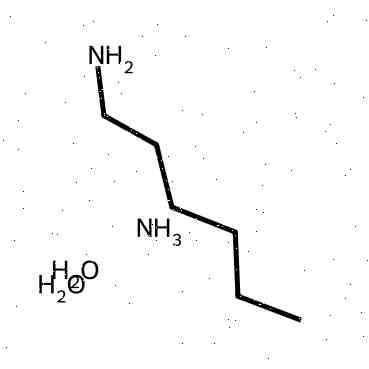 CCCCCCN.N.O.O